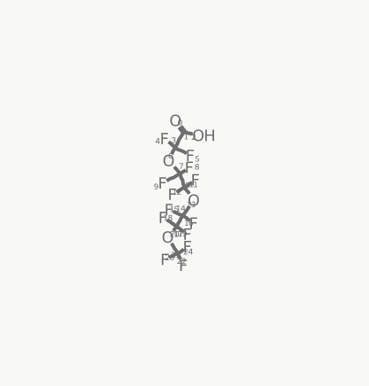 O=C(O)C(F)(F)OC(F)(F)C(F)(F)OC(F)(F)C(F)(F)OC(F)(F)F